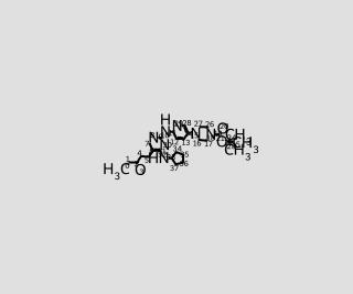 CCC(=O)CCc1cnc(Nc2ccc(N3CCN(C(=O)OC(C)(C)C)CC3)cn2)nc1NC1CCCC1